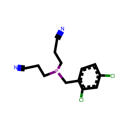 N#CCCP(CCC#N)Cc1ccc(Cl)cc1Cl